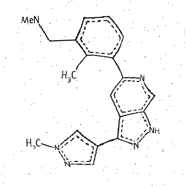 CNCc1cccc(-c2cc3c(-c4cnn(C)c4)n[nH]c3cn2)c1C